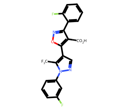 O=C(O)c1c(-c2ccccc2F)noc1-c1cnn(-c2cccc(F)c2)c1C(F)(F)F